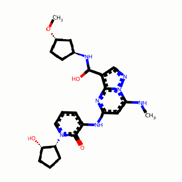 CNc1cc(Nc2cccn([C@@H]3CCC[C@@H]3O)c2=O)nc2c(C(O)N[C@H]3CC[C@H](OC)C3)cnn12